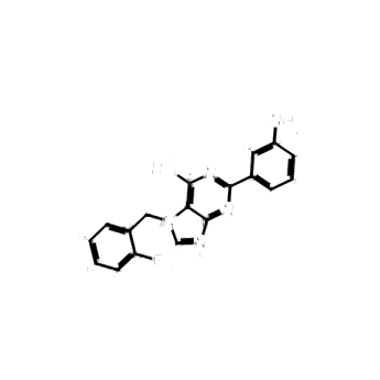 Nc1cccc(-c2nc(O)c3c(ncn3Cc3ccccc3F)n2)c1